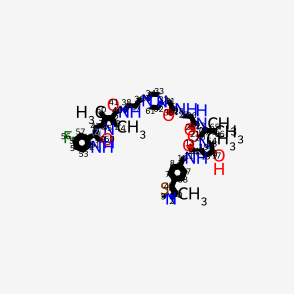 Cc1ncsc1-c1ccc(CNC(=O)[C@@H]2C[C@@H](O)CN2C(=O)[C@@H](NC(=O)CCNC(=O)CN2CCN(CCCNC(=O)c3c(C)[nH]c(/C=C4\C(=O)Nc5ccc(F)cc54)c3C)CC2)C(C)(C)C)cc1